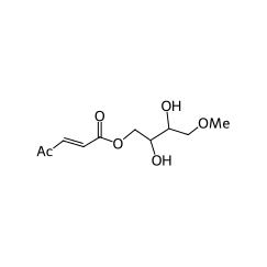 COCC(O)C(O)COC(=O)/C=C/C(C)=O